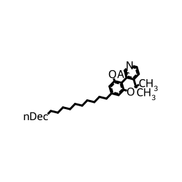 CCCCCCCCCCCCCCCCCCCCc1cc(OC(C)=O)c2c(c1)OC(C)(C)c1ccncc1-2